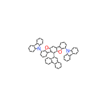 c1ccc2c(c1)cc(-c1c3oc4c(-n5c6ccccc6c6ccccc65)cccc4c3cc3oc4c(-n5c6ccccc6c6ccccc65)cccc4c13)c1ccccc12